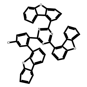 Clc1ccc(-c2nc(-c3cccc4oc5ccccc5c34)nc(-c3cccc4oc5ccccc5c34)n2)c(-c2cccc3c2oc2ccccc23)c1